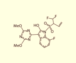 C=CC(C(F)F)S(=O)(=O)n1c(O)c(-c2nc(OC)nc(OC)n2)c2cccc(F)c21